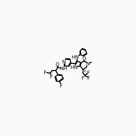 CN1C[C@@H](CC(F)(F)F)c2[nH]c(-c3ccnc(NC(=O)C(CC(F)F)c4ccc(F)cc4)c3)c(Nc3ccccc3)c2C1=O